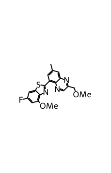 COCc1cnc2c(-c3nc4c(OC)cc(F)cc4s3)cc(C)cc2n1